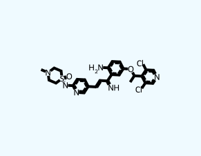 CC(Oc1ccc(N)c(C(=N)/C=C/c2ccc(N=S3(=O)CCN(C)CC3)nc2)c1)c1c(Cl)cncc1Cl